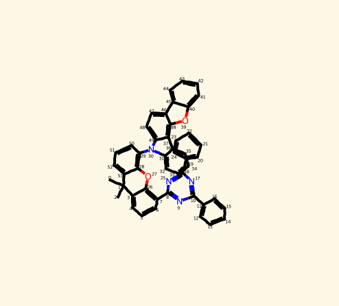 CC1(C)c2cccc(-c3nc(-c4ccccc4)nc(-c4ccccc4)n3)c2Oc2c(-n3c4ccccc4c4c5oc6ccccc6c5ccc43)cccc21